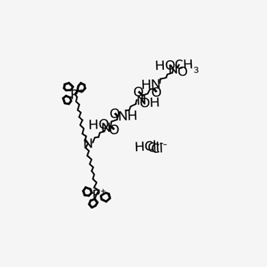 CC(=O)N(O)CCCCCNC(=O)CCC(=O)N(O)CCCCCNC(=O)CCC(=O)N(O)CCCCCN(CCCCCCCCCCCC[P+](c1ccccc1)(c1ccccc1)c1ccccc1)CCCCCCCCCCCC[P+](c1ccccc1)(c1ccccc1)c1ccccc1.Cl.[Cl-].[Cl-]